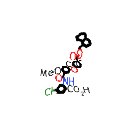 COc1cc(C#N)c(O[C@H]2CC[C@@](C)(C(=O)OCc3cccc4ccccc34)CC2)cc1C(=O)Nc1cc(Cl)ccc1C(=O)O